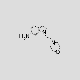 Nc1ccc2ccn(CCN3CCOCC3)c2c1